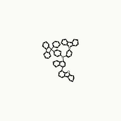 c1ccc(C2(c3ccc(N(c4cccc(-n5c6ccccc6c6ccccc65)c4)c4ccc(-c5cccc6c5oc5ccccc56)c5ccccc45)cc3)c3ccccc3-c3ccccc32)cc1